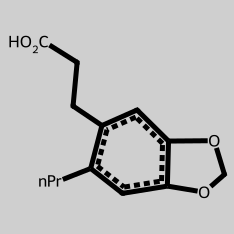 CCCc1cc2c(cc1CCC(=O)O)OCO2